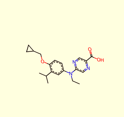 CCN(c1ccc(OCC2CC2)c(C(C)C)c1)c1cnc(C(=O)O)cn1